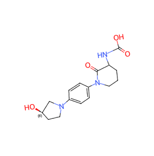 O=C(O)NC1CCCN(c2ccc(N3CC[C@@H](O)C3)cc2)C1=O